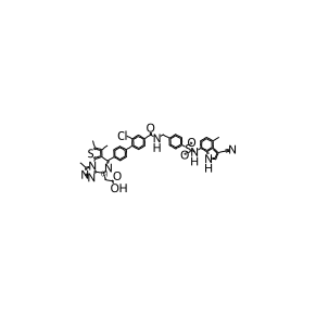 Cc1sc2c(c1C)C(c1ccc(-c3ccc(C(=O)NCc4ccc(S(=O)(=O)Nc5ccc(C)c6c(C#N)c[nH]c56)cc4)cc3Cl)cc1)=N[C@@H](CC(=O)O)c1nnc(C)n1-2